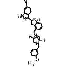 COc1cccc(CN2C[C@H]3C[C@@H]2CN3Cc2cccc3[nH]c(-c4n[nH]c5cc(C#N)ccc45)cc23)c1